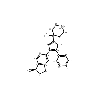 O=C1CCc2cc(-c3cc(C4(O)CCNCC4)oc3-c3ccncc3)ccc21